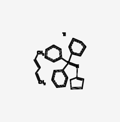 C1=CCC(N=P(c2ccccc2)(c2ccccc2)c2ccccc2)=C1.C=CC=CC.[Ti]